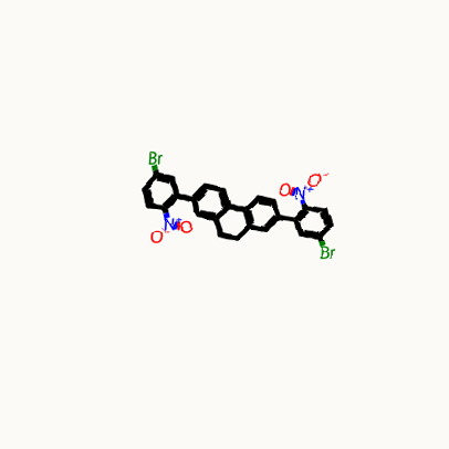 O=[N+]([O-])c1ccc(Br)cc1-c1ccc2c(c1)CCc1cc(-c3cc(Br)ccc3[N+](=O)[O-])ccc1-2